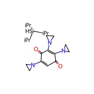 CC(C)[SiH](C(C)C)C(C)C.O=C1C=C(N2CC2)C(=O)C(N2CC2)=C1N1CC1